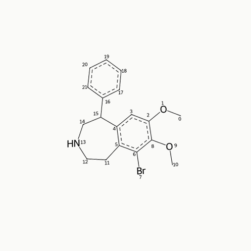 COc1cc2c(c(Br)c1OC)CCNCC2c1ccccc1